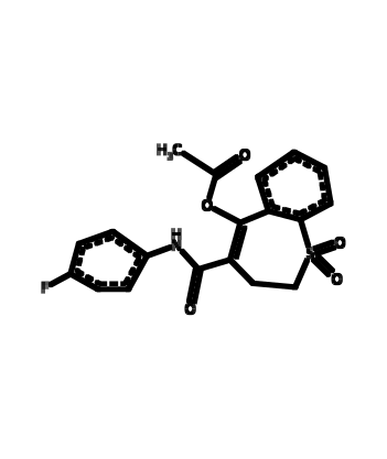 CC(=O)OC1=C(C(=O)Nc2ccc(F)cc2)CCS(=O)(=O)c2ccccc21